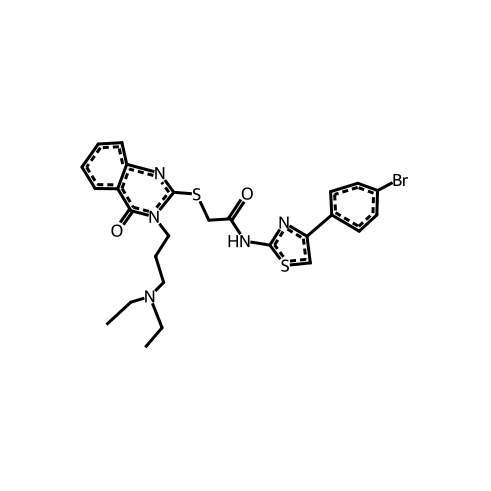 CCN(CC)CCCn1c(SCC(=O)Nc2nc(-c3ccc(Br)cc3)cs2)nc2ccccc2c1=O